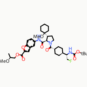 CO[C@@H](C)COC(=O)c1cc2cc(NC(=O)[C@H]3[C@H](C4(OC)CCCCC4)CCN3C(=O)[C@H]3CC[C@H]([C@@H](CF)NC(=O)OC(C)(C)C)CC3)ccc2o1